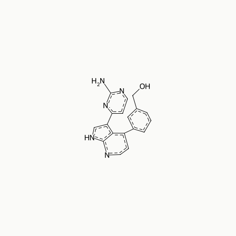 Nc1nccc(-c2c[nH]c3nccc(-c4cccc(CO)c4)c23)n1